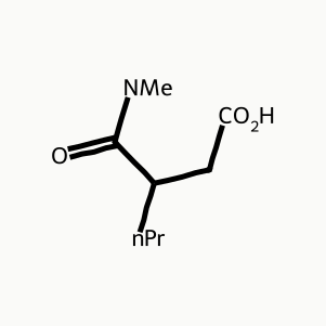 CCCC(CC(=O)O)C(=O)NC